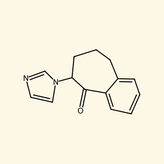 O=C1c2ccccc2CCCC1n1ccnc1